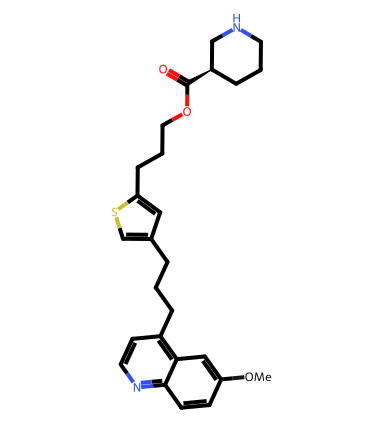 COc1ccc2nccc(CCCc3csc(CCCOC(=O)[C@@H]4CCCNC4)c3)c2c1